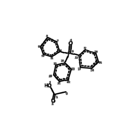 CC(=O)O.O=P(c1ccccc1)(c1ccccc1)c1ccccc1